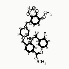 COC(=O)c1ccc(CN2CCN(Cc3ccc(OC)c(OC)c3OC)CC2)c(NC(=O)c2ccccc2F)c1